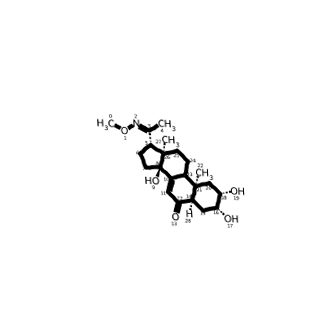 CO/N=C(/C)[C@H]1CC[C@@]2(O)C3=CC(=O)[C@@H]4C[C@@H](O)[C@@H](O)C[C@]4(C)C3CC[C@]12C